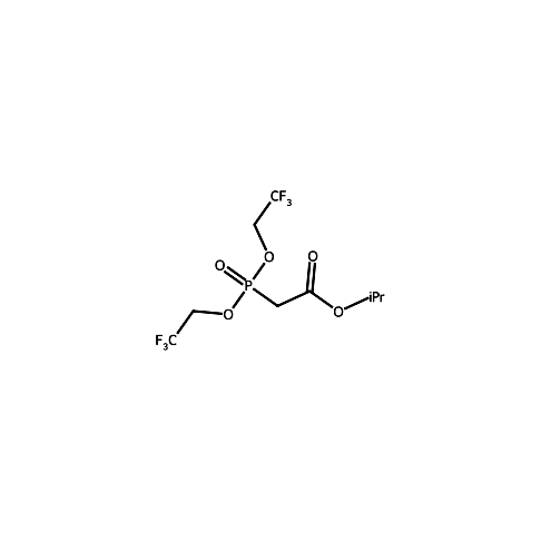 CC(C)OC(=O)CP(=O)(OCC(F)(F)F)OCC(F)(F)F